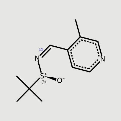 Cc1cnccc1/C=N\[S@@+]([O-])C(C)(C)C